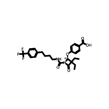 CCC1(CC)C(=O)N(C(=O)NCCCCc2ccc(C(F)(F)F)cc2)[C@H]1Oc1ccc(C(=O)O)cc1